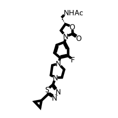 CC(=O)NC[C@H]1CN(c2ccc(N3CCN(c4nnc(C5CC5)s4)CC3)c(F)c2)C(=O)O1